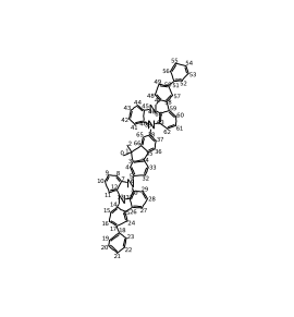 CC1(C)c2cc(N3c4ccccc4-n4c5ccc(-c6ccccc6)cc5c5cccc3c54)ccc2-c2ccc(N3c4ccccc4-n4c5ccc(-c6ccccc6)cc5c5cccc3c54)cc21